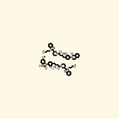 COCCCn1c(C2CCCN(C(=O)CC(N)Cc3ccc(-n4c(=O)[nH]c5ccc(OC)cc54)cc3)C2)nc2ccccc21.COCCCn1c(C2CCCN(C(=O)CC(N)Cc3ccc(-n4ccc5ccccc5c4=O)cc3)C2)nc2ccccc21